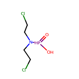 O=[PH](O)N(CCCl)CCCl